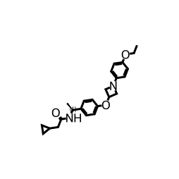 CCOc1ccc(N2CC(Oc3ccc([C@H](C)NC(=O)CC4CC4)cc3)C2)cc1